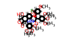 COc1ccc(/C=C(/C(=O)Nc2c3c(cc4c2[C@@H](c2cc(OC)c(OC)c(OC)c2)[C@H]2C(=O)OC[C@@H]2[C@H]4O)OCO3)c2cc(OC)c(OC)c(OC)c2)c(F)c1